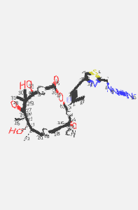 C/C(=C\c1csc(CN=[N+]=[N-])n1)[C@@H]1CC2O[C@@]2(C#N)CCC[C@H](C)[C@H](O)[C@@H](C)C(=O)C(C)(C)[C@@H](O)CC(=O)O1